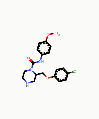 COc1ccc(NC(=O)N2CCNCC2COc2ccc(Cl)cc2)cc1